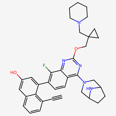 C#Cc1cccc2cc(O)cc(-c3ccc4c(N5CC6CCC(C5)N6)nc(OCC5(CN6CCCCC6)CC5)nc4c3F)c12